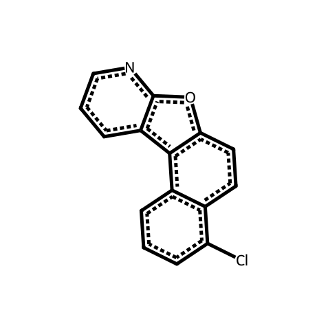 Clc1cccc2c1ccc1oc3ncccc3c12